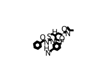 Cc1coc([C@H]2C[C@H]3CSC(NC(=O)c4ccccc4)=N[C@@]3(c3cc(C#N)ccc3F)CO2)n1